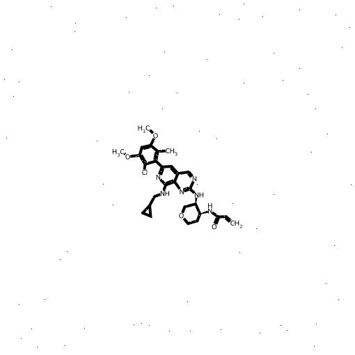 C=CC(=O)N[C@H]1CCOC[C@H]1Nc1ncc2cc(-c3c(C)c(OC)cc(OC)c3Cl)nc(NCC3CC3)c2n1